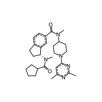 Cc1cc(N2CCC(N(C)C(=O)c3ccc4c(c3)[C@H](N(C)C(=O)C3CCCC3)CC4)CC2)nc(C)n1